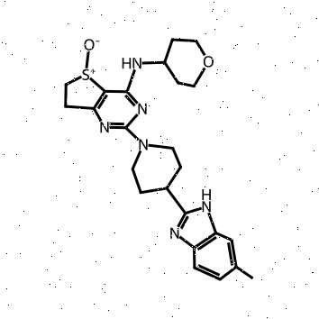 Cc1ccc2nc(C3CCN(c4nc5c(c(NC6CCOCC6)n4)[S+]([O-])CC5)CC3)[nH]c2c1